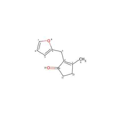 CC1=C(Cc2ccco2)C(=O)C[CH]1